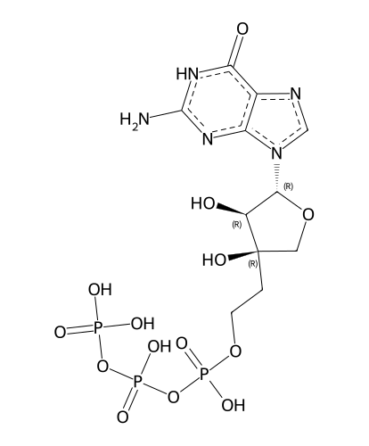 Nc1nc2c(ncn2[C@@H]2OC[C@](O)(CCOP(=O)(O)OP(=O)(O)OP(=O)(O)O)[C@H]2O)c(=O)[nH]1